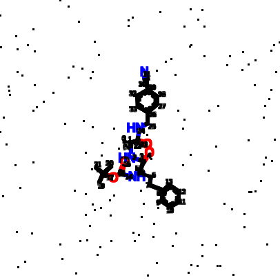 C[C@H](NC(=O)[C@@H](CCc1ccccc1)NC(=O)OC(C)(C)C)C(=O)NCc1ccc(C#N)cc1